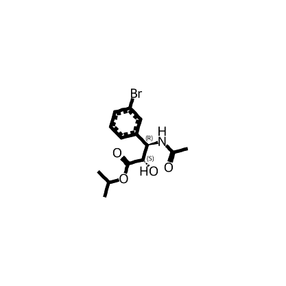 CC(=O)N[C@H](c1cccc(Br)c1)[C@H](O)C(=O)OC(C)C